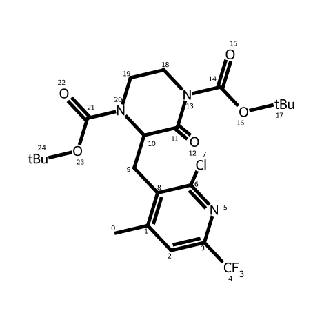 Cc1cc(C(F)(F)F)nc(Cl)c1CC1C(=O)N(C(=O)OC(C)(C)C)CCN1C(=O)OC(C)(C)C